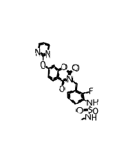 CNS(=O)(=O)Nc1cccc(Cn2c(=O)oc3cc(Oc4ncccn4)ccc3c2=O)c1F